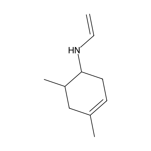 C=CNC1CC=C(C)CC1C